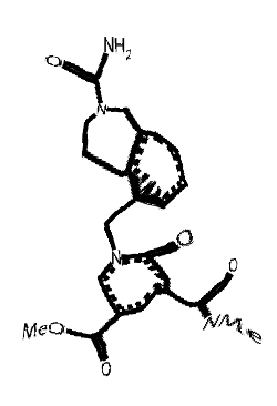 CNC(=O)c1cc(C(=O)OC)cn(Cc2cccc3c2CCN(C(N)=O)C3)c1=O